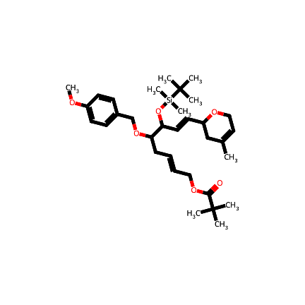 COc1ccc(COC(CC=CCOC(=O)C(C)(C)C)C(C=CC2CC(C)=CCO2)O[Si](C)(C)C(C)(C)C)cc1